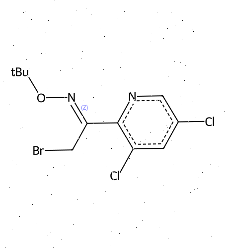 CC(C)(C)O/N=C(\CBr)c1ncc(Cl)cc1Cl